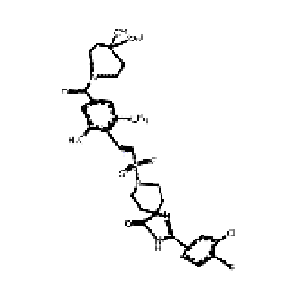 Cc1cc(C(=O)N2CCC(C)(O)CC2)cc(C)c1/C=C/S(=O)(=O)N1CCC2(CC1)N=C(c1ccc(F)c(Cl)c1)NC2=O